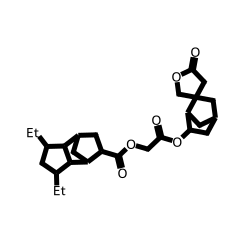 CCC1CC(CC)C2C3CC(CC3C(=O)OCC(=O)OC3CC4CC3C3(COC(=O)C3)C4)C12